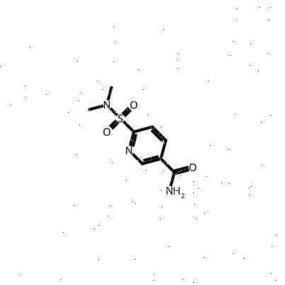 CN(C)S(=O)(=O)c1ccc(C(N)=O)cn1